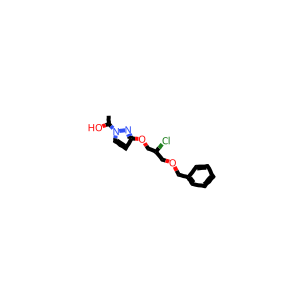 CC(O)n1ccc(OCC(Cl)COCc2ccccc2)n1